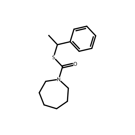 CC(SC(=O)N1CCCCCC1)c1ccccc1